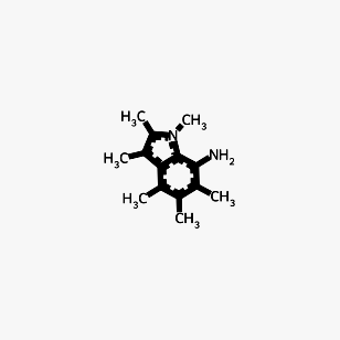 Cc1c(C)c(N)c2c(c1C)c(C)c(C)n2C